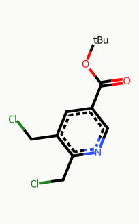 CC(C)(C)OC(=O)c1cnc(CCl)c(CCl)c1